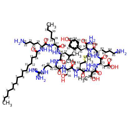 CCCCCCCCCCCCCCCC(=O)N[C@@H](CCCCN)C(=O)N[C@@H](CCCCC)C(=O)N[C@@H](CC(C)C)C(=O)N[C@@H](CCCNC(=N)N)C(=O)N[C@@H](CO)C(=O)N[C@@H](CCSC)C(=O)N[C@H](C(=O)N[C@@H](CC(=O)O)C(=O)N[C@@H](CCCCN)C(=O)N[C@@H](Cc1ccc(O)cc1)C(N)=O)[C@@H](C)O